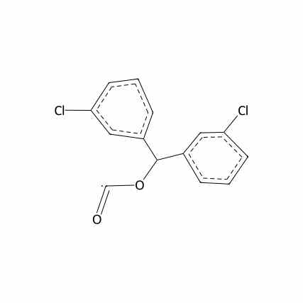 O=[C]OC(c1cccc(Cl)c1)c1cccc(Cl)c1